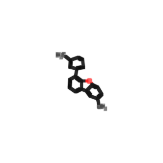 Cc1cccc(-c2cccc3c2oc2ccc(C)cc23)c1